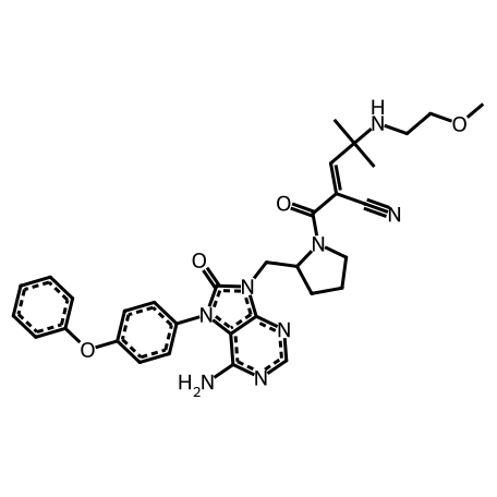 COCCNC(C)(C)C=C(C#N)C(=O)N1CCCC1Cn1c(=O)n(-c2ccc(Oc3ccccc3)cc2)c2c(N)ncnc21